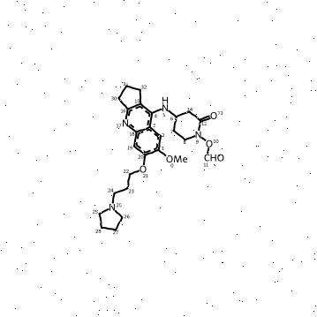 COc1cc2c(NC3CCN(OC=O)C(=O)C3)c3c(nc2cc1OCCCN1CCCC1)CCC3